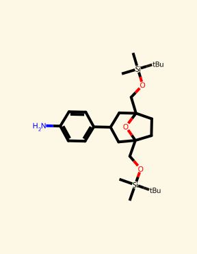 CC(C)(C)[Si](C)(C)OCC12CCC(CO[Si](C)(C)C(C)(C)C)(CC(c3ccc(N)cc3)C1)O2